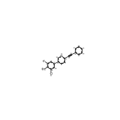 [CH2]Cc1c(F)cc(-c2ccc(C#Cc3ccccc3)nc2)cc1Cl